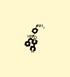 NC[C@H]1CC[C@H](C(=O)NC(Cc2ccccc2)c2cc(-c3ccncc3)ccn2)CC1